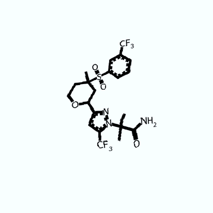 CC(C)(C(N)=O)n1nc(C2CC(C)(S(=O)(=O)c3cccc(C(F)(F)F)c3)CCO2)cc1C(F)(F)F